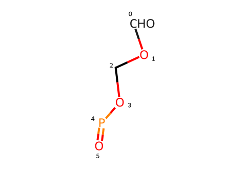 O=COCOP=O